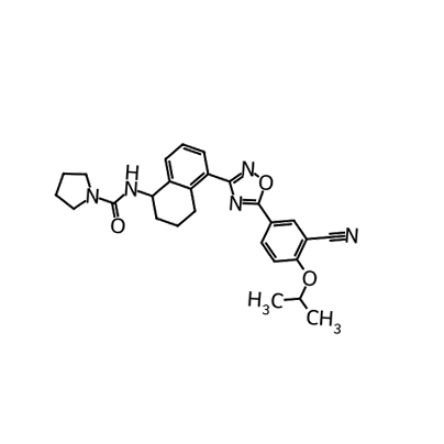 CC(C)Oc1ccc(-c2nc(-c3cccc4c3CCCC4NC(=O)N3CCCC3)no2)cc1C#N